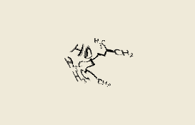 C=C(C)CCC(C)(O)CC(C)C